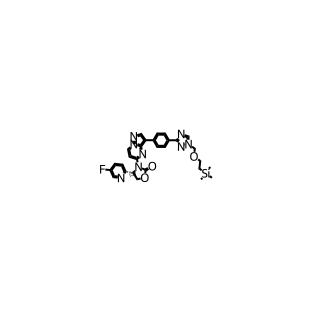 C[Si](C)(C)CCOCn1cnc(-c2ccc(-c3cnn4ccc(N5C(=O)OC[C@@H]5c5ccc(F)cn5)nc34)cc2)n1